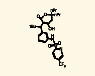 CCCC1(CCC)CC(O)=C(C(c2cccc(NS(=O)(=O)c3ccc(C(F)(F)F)cn3)c2)C(C)(C)C)C(=O)O1